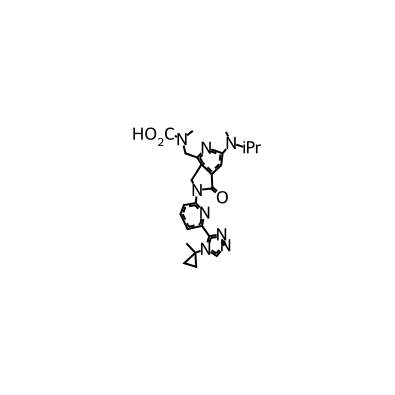 CC(C)N(C)c1cc2c(c(CN(C)C(=O)O)n1)CN(c1cccc(-c3nncn3C3(C)CC3)n1)C2=O